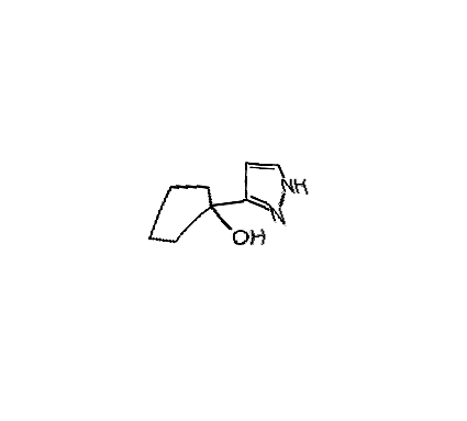 OC1(c2cc[nH]n2)CCCC1